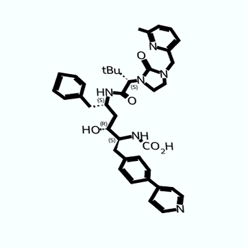 Cc1cccc(CN2CCN([C@H](C(=O)N[C@@H](Cc3ccccc3)C[C@@H](O)[C@H](Cc3ccc(-c4ccncc4)cc3)NC(=O)O)C(C)(C)C)C2=O)n1